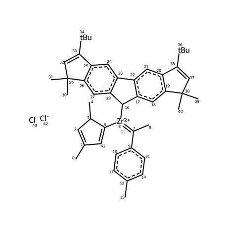 CC1=CC(C)[C](/[Zr+2](=[C](/C)c2ccc(C)cc2)[CH]2c3cc4c(cc3-c3cc5c(cc32)C(C)(C)C=C5C(C)(C)C)C(C(C)(C)C)=CC4(C)C)=C1.[Cl-].[Cl-]